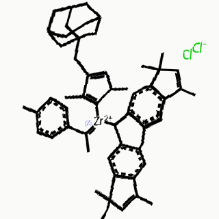 CC1=CC(C)(C)c2cc3c(cc21)-c1cc2c(cc1[CH]3/[Zr+2]([C]1=C(C)C(CC34CC5CC(CC(C5)C3)C4)=CC1C)=[C](\C)c1ccc(C)cc1)C(C)(C)C=C2C.[Cl-].[Cl-]